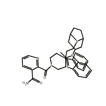 Cc1nc2ccccc2n1C1CC2CCC(C1)N2CCC1(c2ccccc2)CCN(C(=O)c2ncccc2C(N)=O)CC1